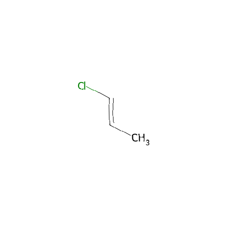 C/C=C/Cl